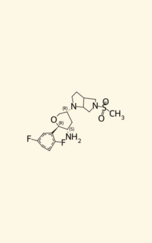 CS(=O)(=O)N1CC2CCN([C@H]3CO[C@H](c4cc(F)ccc4F)[C@@H](N)C3)C2C1